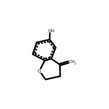 C=C1CCOc2ccc(O)cc21